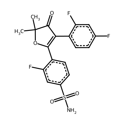 CC1(C)OC(c2ccc(S(N)(=O)=O)cc2F)=C(c2ccc(F)cc2F)C1=O